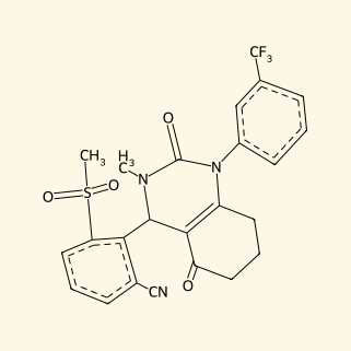 CN1C(=O)N(c2cccc(C(F)(F)F)c2)C2=C(C(=O)CCC2)C1c1c(C#N)cccc1S(C)(=O)=O